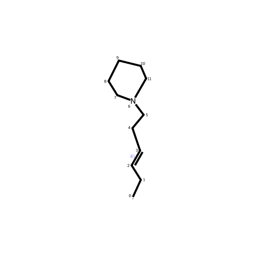 [CH2]C/C=C/CCN1CCCCC1